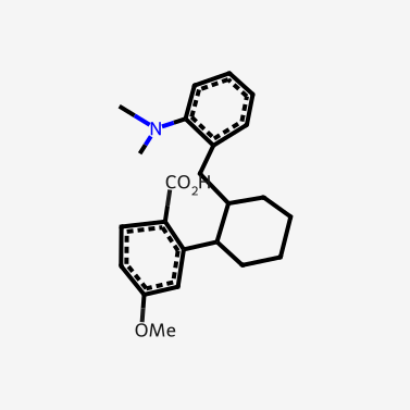 COc1ccc(C(=O)O)c(C2CCCCC2Cc2ccccc2N(C)C)c1